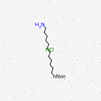 CCCCCCCCCCCCCCCCCCCCCN.Cl